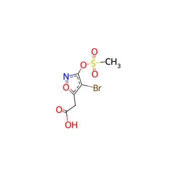 CS(=O)(=O)Oc1noc(CC(=O)O)c1Br